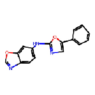 c1ccc(-c2cnc(Nc3ccc4ncoc4c3)o2)cc1